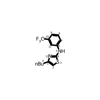 CCCCc1csc(Nc2cccc(C(F)(F)F)c2)n1